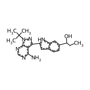 CCC(O)c1ccc2cc(-c3nn(C(C)(C)C)c4ncnc(N)c34)[nH]c2c1